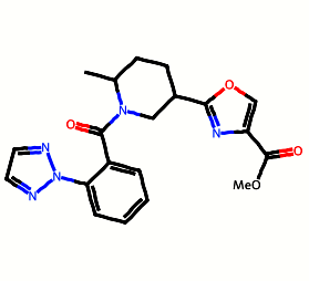 COC(=O)c1coc(C2CCC(C)N(C(=O)c3ccccc3-n3nccn3)C2)n1